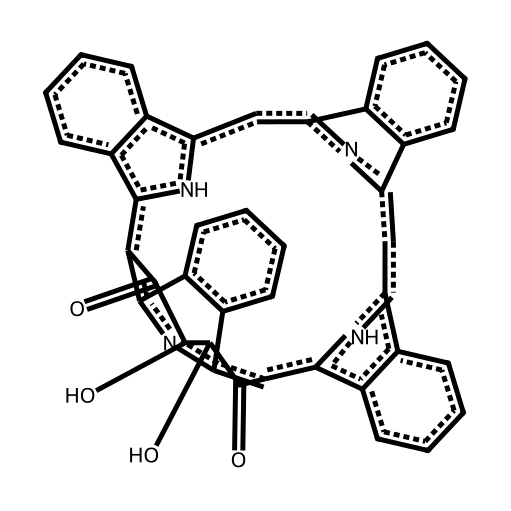 O=C1c2c3nc(c(c4[nH]c(cc5nc(cc6[nH]c2c2ccccc62)-c2ccccc2-5)c2ccccc42)C(=O)C(O)C1O)-c1ccccc1-3